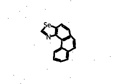 c1ccc2c(c1)ccc1ccc3[se]cnc3c12